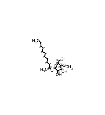 CCCCCCCCCC[C@@H](C)O[C@@H]1OC(CO)[C@@H](OC)C(O)C1O